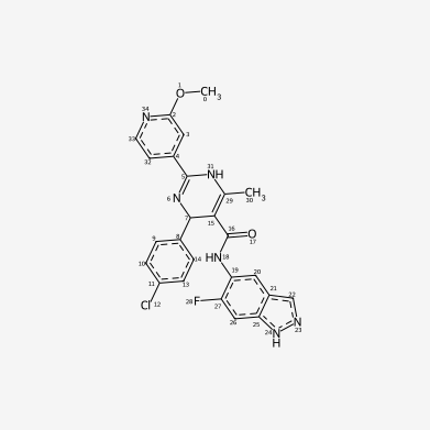 COc1cc(C2=NC(c3ccc(Cl)cc3)C(C(=O)Nc3cc4cn[nH]c4cc3F)=C(C)N2)ccn1